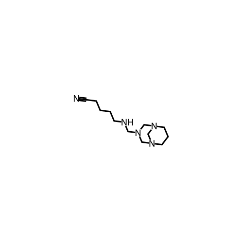 N#CCCCCNCN1CN2CCCN(C2)C1